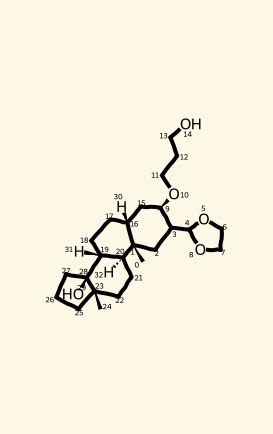 C[C@]12CC(C3OCCO3)[C@H](OCCCO)C[C@H]1CC[C@@H]1[C@@H]2CC[C@]2(C)CCC[C@]12O